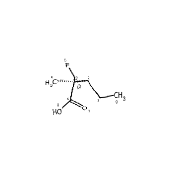 CCC[C@](C)(F)C(=O)O